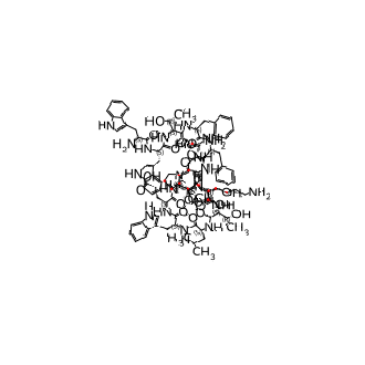 CC(C)C[C@H](NC(=O)[C@@H](NC(=O)[C@H](CO)NC(=O)[C@@H]1CCCN1C(=O)[C@H](CC(C)C)NC(=O)[C@H](Cc1ccccc1)NC(=O)[C@H](Cc1ccccc1)NC(=O)[C@@H](NC(=O)[C@H](Cc1c[nH]c2ccccc12)NC(=O)[C@@H](N)Cc1c[nH]c2ccccc12)[C@@H](C)O)[C@@H](C)O)C(=O)N[C@@H](Cc1c[nH]c2ccccc12)C(=O)N[C@@H](CCC(=O)O)C(=O)N[C@@H](CCCNC(=N)N)C(=O)N[C@@H](CCCCN)C(=O)O